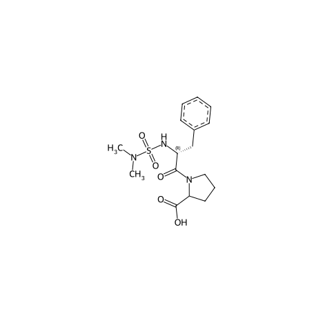 CN(C)S(=O)(=O)N[C@H](Cc1ccccc1)C(=O)N1CCCC1C(=O)O